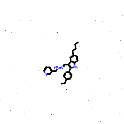 CCCCc1ccc2[nH]c(-c3ccc(CC)cc3)c(C=NNCc3cccnc3)c2c1